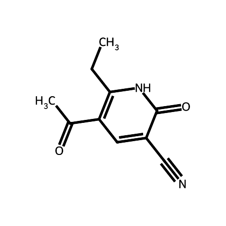 CCc1[nH]c(=O)c(C#N)cc1C(C)=O